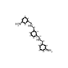 Nc1cccc(CNCc2cccc(CNCc3cccc(N)c3)c2)c1